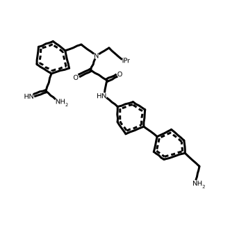 CC(C)CN(Cc1cccc(C(=N)N)c1)C(=O)C(=O)Nc1ccc(-c2ccc(CN)cc2)cc1